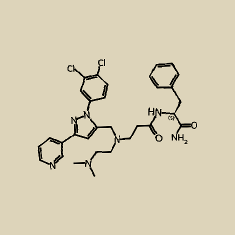 CN(C)CCN(CCC(=O)N[C@@H](Cc1ccccc1)C(N)=O)Cc1cc(-c2cccnc2)nn1-c1ccc(Cl)c(Cl)c1